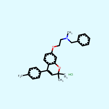 CN(CCOc1ccc2c(c1)OC(C)(C)C=C2c1ccc(C(F)(F)F)cc1)Cc1ccccc1.Cl